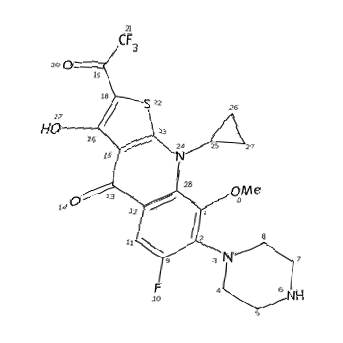 COc1c(N2CCNCC2)c(F)cc2c(=O)c3c(O)c(C(=O)C(F)(F)F)sc3n(C3CC3)c12